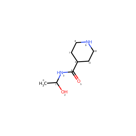 CC(O)NC(=O)C1CCNCC1